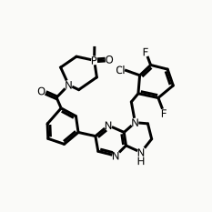 CP1(=O)CCN(C(=O)c2cccc(-c3cnc4c(n3)N(Cc3c(F)ccc(F)c3Cl)CCN4)c2)CC1